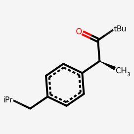 CC(C)Cc1ccc([C@H](C)C(=O)C(C)(C)C)cc1